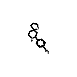 N#Cc1ccc(C2CC3(CCCO3)CCN2)cc1